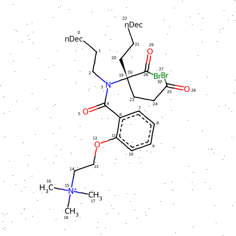 CCCCCCCCCCCCN(C(=O)c1ccccc1OCC[N+](C)(C)C)[C@@](CCCCCCCCCCCC)(CCC(=O)Br)C(=O)Br